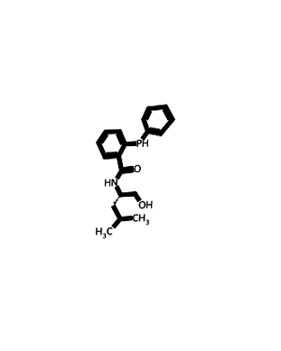 CC(C)C[C@@H](CO)NC(=O)c1ccccc1Pc1ccccc1